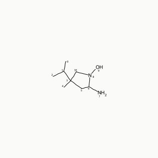 CC(C)C1(C)CC(N)N(O)C1